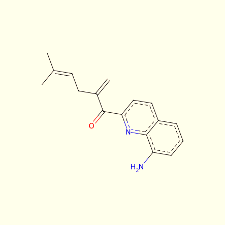 C=C(CC=C(C)C)C(=O)c1ccc2cccc(N)c2n1